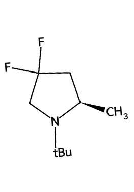 C[C@@H]1CC(F)(F)CN1C(C)(C)C